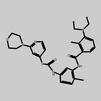 CCN(CC)c1cccc(C(=O)Nc2cc(NC(=O)Oc3ccnc(N4CCOCC4)c3)ccc2C)c1C